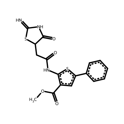 COC(=O)c1cc(-c2ccccc2)sc1NC(=O)CC1SC(=N)NC1=O